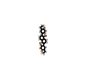 c1cc2cc3c(cc2s1)sc1c3ccc2c1ccc1c3cc4ccsc4cc3sc12